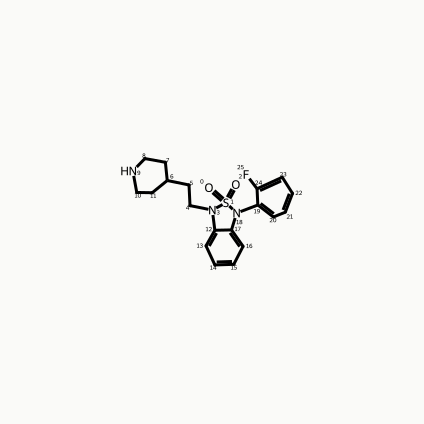 O=S1(=O)N(CCC2CCNCC2)c2ccccc2N1c1ccccc1F